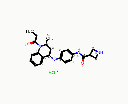 CCC(=O)N1c2ccccc2[C@H](Nc2ccc(NC(=O)C3CNC3)cc2)C[C@@H]1C.Cl